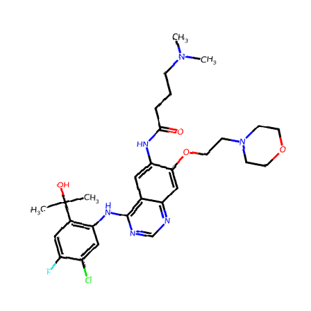 CN(C)CCCC(=O)Nc1cc2c(Nc3cc(Cl)c(F)cc3C(C)(C)O)ncnc2cc1OCCN1CCOCC1